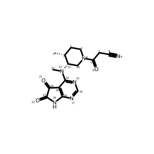 C[C@@H]1CCN(C(=O)CC#N)C[C@@H]1N(C)c1ncnc2c1C(=O)C(=O)N2